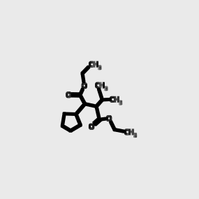 CCOC(=O)C(C(C)C)C(C(=O)OCC)C1CCCC1